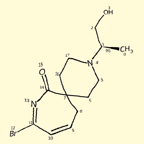 C[C@H](CO)N1CCC2(CC=CC(Br)=NC2=O)CC1